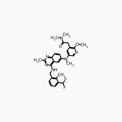 COc1ncc(N(C)c2ccc3nc(C)nc(NCc4cccc(C(F)F)c4C)c3c2)cc1CC(=O)N(C)C